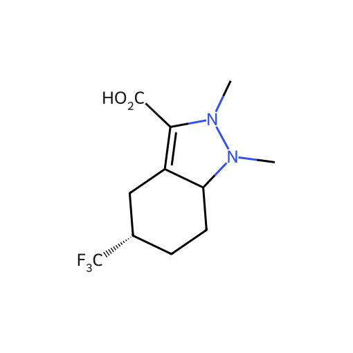 CN1C(C(=O)O)=C2C[C@@H](C(F)(F)F)CCC2N1C